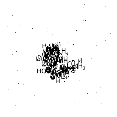 CC[C@H](C)[C@H](N)C(=O)N[C@@H](CS)C(=O)N[C@H](C(=O)N[C@@H](C)C(=O)N[C@@H](CO)C(=O)N[C@H](C(=O)N1C[C@H](O)C[C@H]1C(=O)N1CCC[C@H]1C(=O)N[C@H](C(=O)N[C@@H](CS)C(=O)N[C@@H](CCC(N)=O)C(=O)O)[C@@H](C)CC)[C@@H](C)CC)[C@@H](C)O